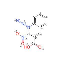 [N-]=[N+]=Nc1ccccc1C=C(C[N+](=O)[O-])C(=O)O